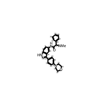 CNC(C(=O)Nc1ccc2[nH]nc(-c3ccc(N4CCOCC4)cc3)c2c1)c1ccccc1